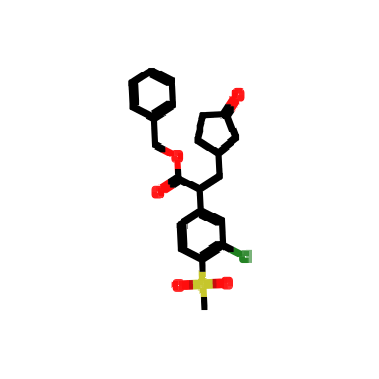 CS(=O)(=O)c1ccc(C(CC2CCC(=O)C2)C(=O)OCc2ccccc2)cc1Cl